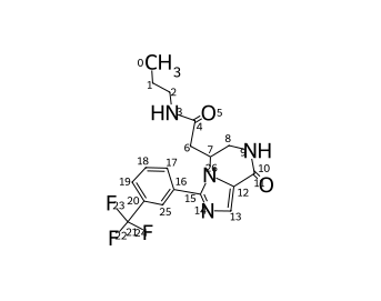 CCCNC(=O)CC1CNC(=O)c2cnc(-c3cccc(C(F)(F)F)c3)n21